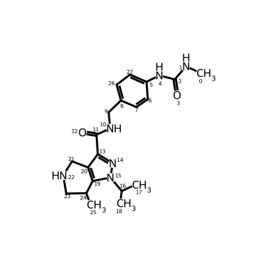 CNC(=O)Nc1ccc(CNC(=O)c2nn(C(C)C)c3c2CNCC3C)cc1